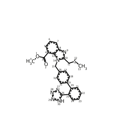 COC(=O)c1cccc2nc(CSC)n(Cc3ccc(-c4ccccc4-c4nnn[nH]4)cc3)c12